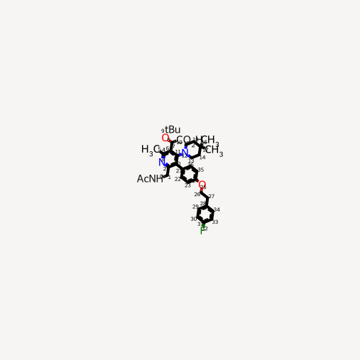 CC(=O)NCc1nc(C)c(C(OC(C)(C)C)C(=O)O)c(N2CCC(C)(C)CC2)c1-c1ccc(OCCc2ccc(F)cc2)cc1